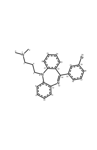 CN(C)CCCN1c2ccccc2N=C(c2cccc(Br)c2)c2ccccc21